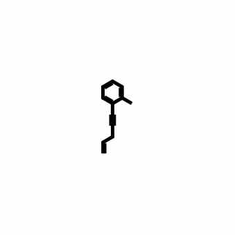 C=CCC#Cc1ccccc1C